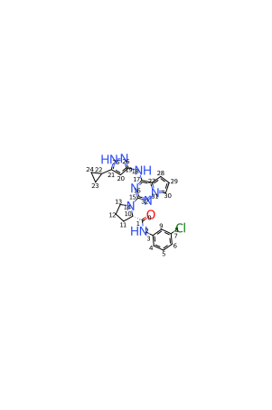 O=C(Nc1cccc(Cl)c1)[C@@H]1CCCN1c1nc(Nc2cc(C3CC3)[nH]n2)c2cccn2n1